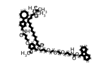 COc1cc(OCCCC(=O)NCc2ccc(C3CCCCCCC3)cc2)ccc1CN(CCCOCCOCCOCCCNC(=O)OCC1c2ccccc2-c2ccccc21)C(=O)CCCCCCCCCCCCCCC(=O)OC(C)(C)C